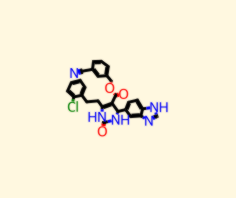 N#Cc1cccc(COC(=O)C2=C(CCc3ccccc3Cl)NC(=O)NC2c2ccc3[nH]cnc3c2)c1